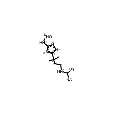 CCC(CC)NCCC(C)(C)c1nnc(NC=O)s1